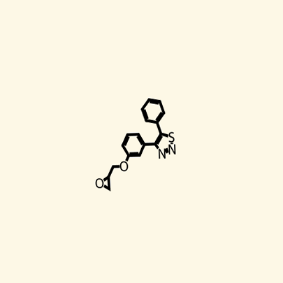 c1ccc(-c2snnc2-c2cccc(OCC3CO3)c2)cc1